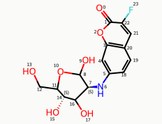 O=c1oc2cc(N[C@@H]3C(O)OC(CO)[C@@H](O)C3O)ccc2cc1F